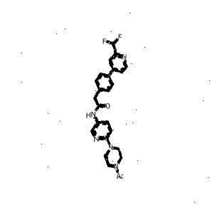 CC(=O)N1CCN(c2ccc(NC(=O)Cc3ccc(-c4ccnc(C(F)F)c4)cc3)cn2)CC1